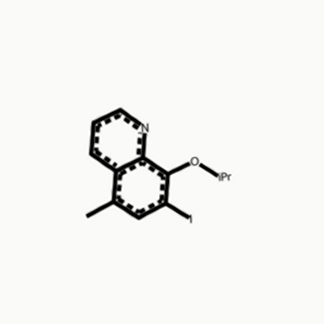 Cc1cc(I)c(OC(C)C)c2ncccc12